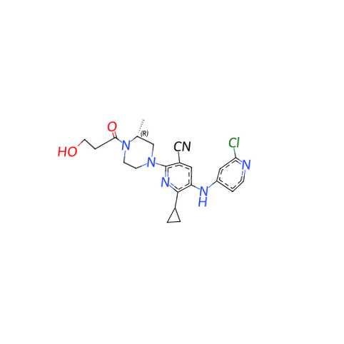 C[C@@H]1CN(c2nc(C3CC3)c(Nc3ccnc(Cl)c3)cc2C#N)CCN1C(=O)CCO